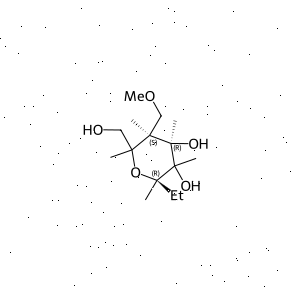 CC[C@@]1(C)OC(C)(CO)[C@@](C)(COC)[C@@](C)(O)C1(C)O